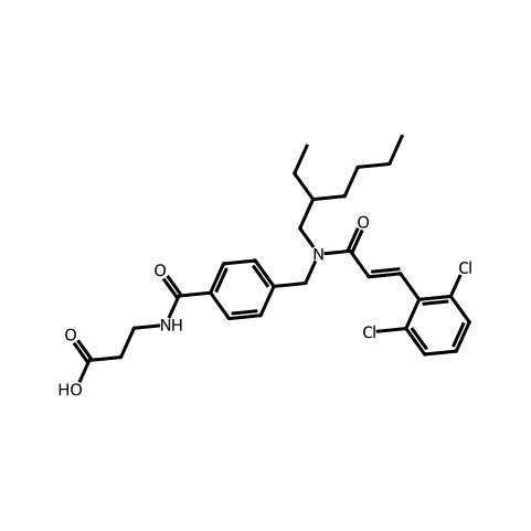 CCCCC(CC)CN(Cc1ccc(C(=O)NCCC(=O)O)cc1)C(=O)/C=C/c1c(Cl)cccc1Cl